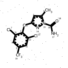 Cc1cc(Oc2c(Cl)cc(C(F)(F)F)cc2Cl)nn1C(N)=O